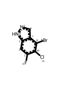 Fc1cc2[nH]ncc2c(Br)c1Cl